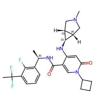 C[C@@H](NC(=O)c1cn(C2CCC2)c(=O)cc1N[C@H]1[C@@H]2CN(C)C[C@@H]21)c1cccc(C(C)(F)F)c1F